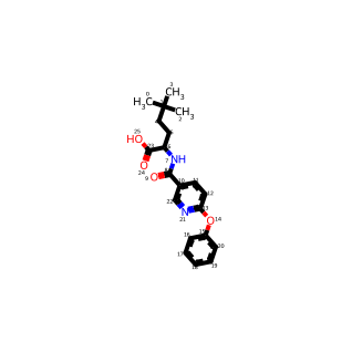 CC(C)(C)CCC(NC(=O)c1ccc(Oc2ccccc2)nc1)C(=O)O